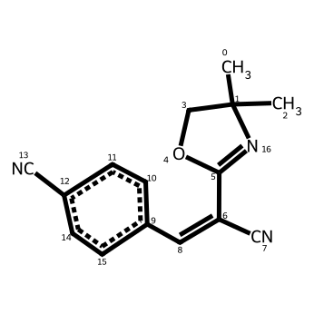 CC1(C)COC(/C(C#N)=C\c2ccc(C#N)cc2)=N1